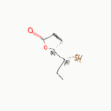 CC[C@@H](S)[C@H]1CCC(=O)O1